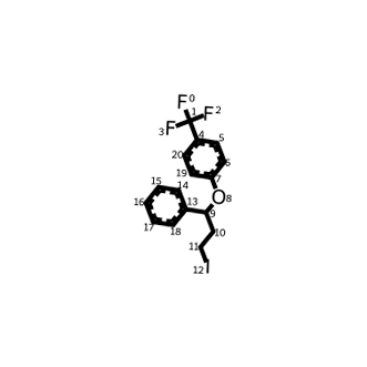 FC(F)(F)c1ccc(OC(CCI)c2ccccc2)cc1